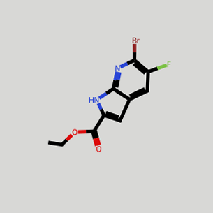 CCOC(=O)c1cc2cc(F)c(Br)nc2[nH]1